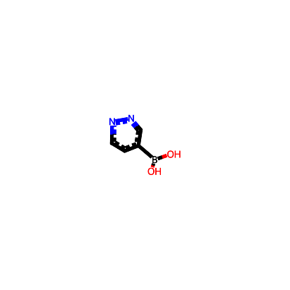 OB(O)c1ccnnc1